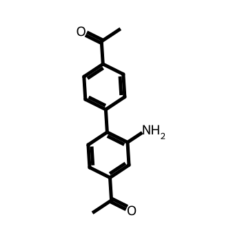 CC(=O)c1ccc(-c2ccc(C(C)=O)cc2N)cc1